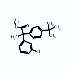 COC(=O)C(C)(c1ccc(C(C)(C)C)cc1)c1cccc(Cl)c1